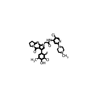 Cc1cc(-c2cn(CC(=O)Nc3cc(N4CCN(C)CC4)ncc3Cl)c3nc4n(c(=O)c23)CCC4)c(F)c(Cl)c1O